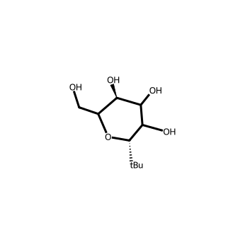 CC(C)(C)[C@@H]1OC(CO)[C@@H](O)C(O)C1O